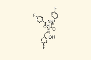 O=C(N[C@@H](Cc1ccc(F)cc1)C(=O)N[C@H](CO)Cc1ccc(F)cc1)c1ccc(F)cc1